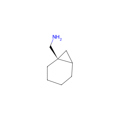 NC[C@]12CCCCC1C2